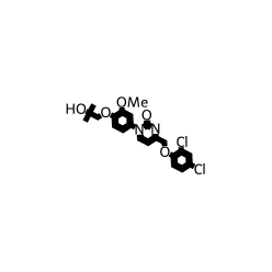 COc1cc(-n2ccc(COc3ccc(Cl)cc3Cl)nc2=O)ccc1OCC(C)(C)O